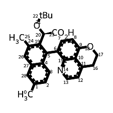 Cc1ccc2c(-c3ccc4c5c(ccnc35)CCO4)c([C@@H](OC(C)(C)C)C(=O)O)c(C)cc2c1